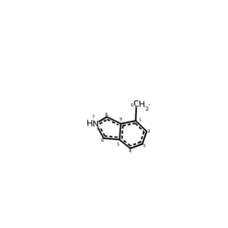 [CH2]c1cccc2c[nH]cc12